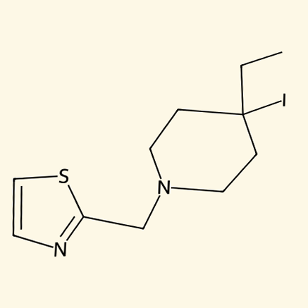 CCC1(I)CCN(Cc2nccs2)CC1